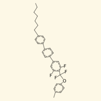 CCCCCCCc1ccc(-c2ccc(-c3cc(F)c(C(F)(F)Oc4ccc(C)cc4)c(F)c3)cc2)cc1